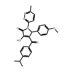 COc1ccc(C2C(C(=O)c3ccc(C(C)C)cc3)=C(O)C(=O)N2c2ccc(C)nn2)cc1